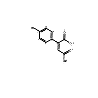 O=C(O)/C=C(\C(=O)O)c1ccc(Br)cc1